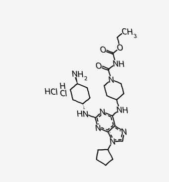 CCOC(=O)NC(=O)N1CCC(Nc2nc(N[C@H]3CC[C@H](N)CC3)nc3c2ncn3C2CCCC2)CC1.Cl.Cl